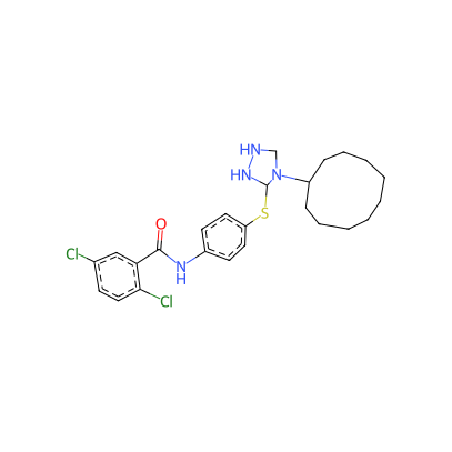 O=C(Nc1ccc(SC2NNCN2C2CCCCCCCCC2)cc1)c1cc(Cl)ccc1Cl